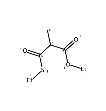 CCOC(=O)C(C)C(=O)SCC